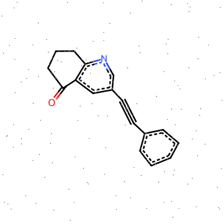 O=C1CCCc2ncc(C#Cc3ccccc3)cc21